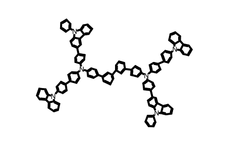 c1ccc(-n2c3ccccc3c3cc(-c4ccc(N(c5ccc(-c6ccc(-n7c8ccccc8c8ccccc87)cc6)cc5)c5ccc(-c6cccc(-c7cccc(-c8ccc(N(c9ccc(-c%10ccc(-n%11c%12ccccc%12c%12ccccc%12%11)cc%10)cc9)c9ccc(-c%10ccc%11c(c%10)c%10ccccc%10n%11-c%10ccccc%10)cc9)cc8)c7)c6)cc5)cc4)ccc32)cc1